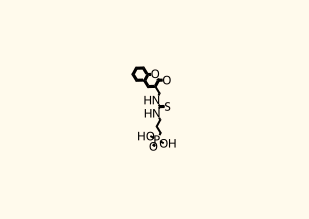 O=c1oc2ccccc2cc1CNC(=S)NCCCP(=O)(O)O